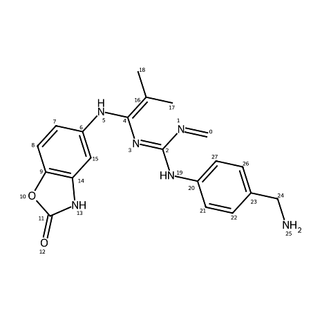 C=N/C(=N\C(Nc1ccc2oc(=O)[nH]c2c1)=C(C)C)Nc1ccc(CN)cc1